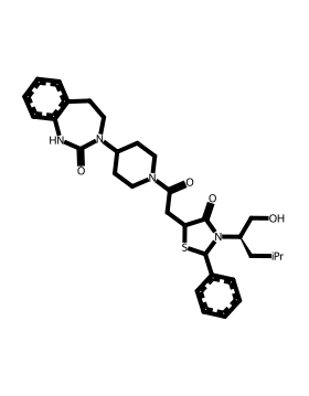 CC(C)C[C@H](CO)N1C(=O)C(CC(=O)N2CCC(N3CCc4ccccc4NC3=O)CC2)SC1c1ccccc1